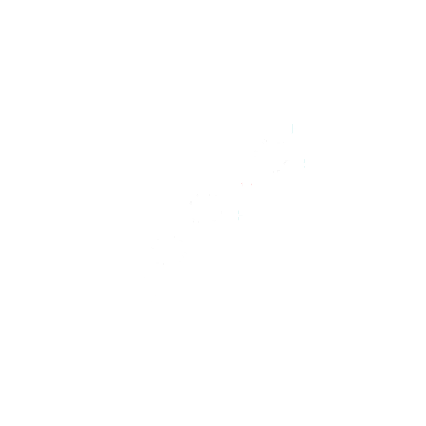 Fc1cc(OCc2c(F)cc(-c3ccc(C4CCCCO4)cc3)cc2F)cc(F)c1F